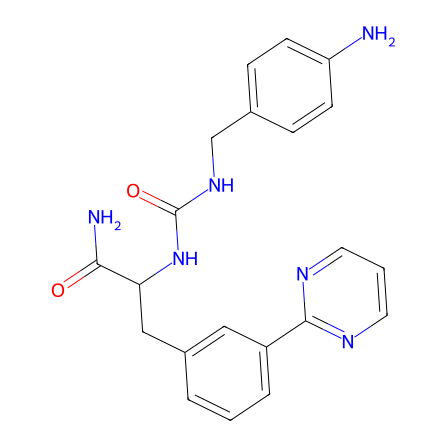 NC(=O)C(Cc1cccc(-c2ncccn2)c1)NC(=O)NCc1ccc(N)cc1